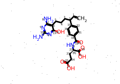 C=CC(CCCc1c(N)nc(N)nc1O)c1ccc(C(=O)N[C@H](CCC(=O)O)C(=O)O)cc1